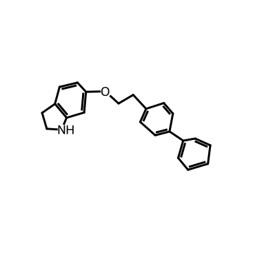 c1ccc(-c2ccc(CCOc3ccc4c(c3)NCC4)cc2)cc1